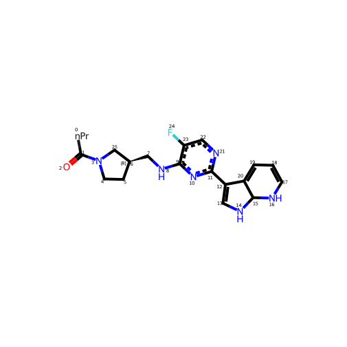 CCCC(=O)N1CC[C@H](CNc2nc(C3=CNC4NC=CC=C34)ncc2F)C1